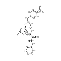 CC(C)CC1C2C3C=NC1(C(=O)NCc1ccccc1)CC3CN2Cc1ccc(N(C)C)cc1